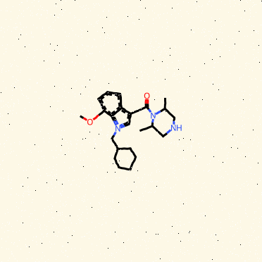 COc1cccc2c(C(=O)N3C(C)CNCC3C)cn(CC3CCCCC3)c12